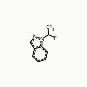 FC(n1ncc2ccccc21)C(F)(F)F